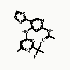 CC(=O)Nc1cc(Nc2cc(C)nc(C(C)(F)F)n2)c(-c2nccs2)cn1